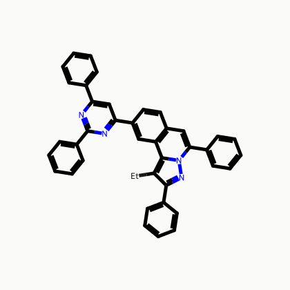 CCc1c(-c2ccccc2)nn2c(-c3ccccc3)cc3ccc(-c4cc(-c5ccccc5)nc(-c5ccccc5)n4)cc3c12